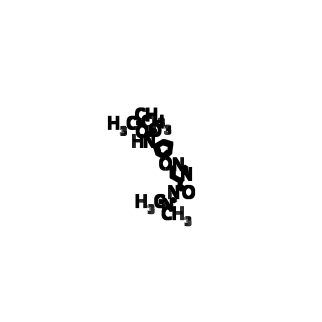 CN(C)C=NC(=O)c1cc(Oc2cccc(NC(=O)OC(C)(C)C)c2)ncn1